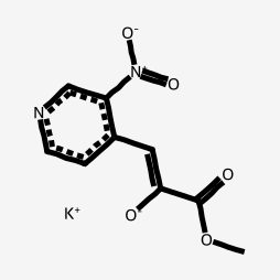 COC(=O)C([O-])=Cc1ccncc1[N+](=O)[O-].[K+]